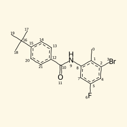 Cc1c(Br)cc(F)cc1NC(=O)c1ccc(C(C)(C)C)cc1